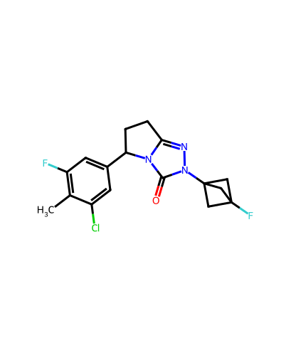 Cc1c(F)cc(C2CCc3nn(C45CC(F)(C4)C5)c(=O)n32)cc1Cl